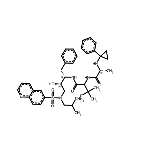 CC(C)CN(C[C@@H](O)[C@H](Cc1ccccc1)NC(=O)C(NC(=O)[C@@H](C)NC1(c2ccccc2)CC1)C(C)(C)C)S(=O)(=O)c1ccc2ncccc2c1